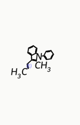 C/C=C/c1c(C)n(-c2ccccc2)c2ccccc12